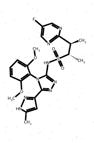 COc1cccc(OC)c1-n1c(NS(=O)(=O)[C@@H](C)[C@H](C)c2ncc(F)cn2)nnc1-c1cc(C)[nH]n1